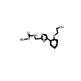 CC(C)(C)OC(=O)NCc1nc(-c2ccccc2OCCO)cs1